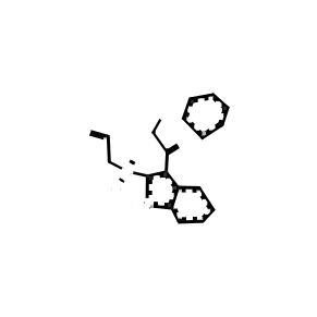 C=CCS(=O)(=O)c1[nH]c2ccccc2c1C(=O)CC.c1ccccc1